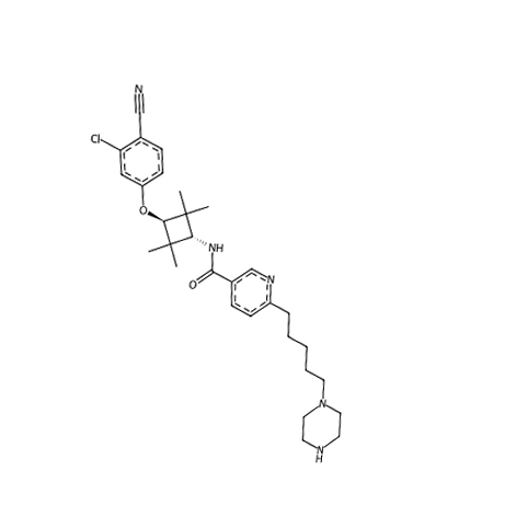 CC1(C)[C@H](NC(=O)c2ccc(CCCCCN3CCNCC3)nc2)C(C)(C)[C@H]1Oc1ccc(C#N)c(Cl)c1